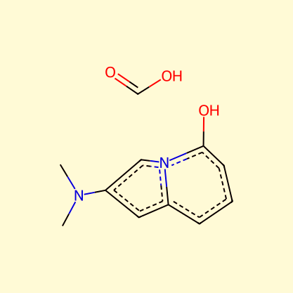 CN(C)c1cc2cccc(O)n2c1.O=CO